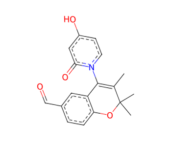 CC1=C(n2ccc(O)cc2=O)c2cc(C=O)ccc2OC1(C)C